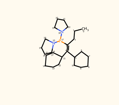 CCCC(=C(C1CCCCC1)C1CCCCC1)P(N1CCCC1)N1CCCC1